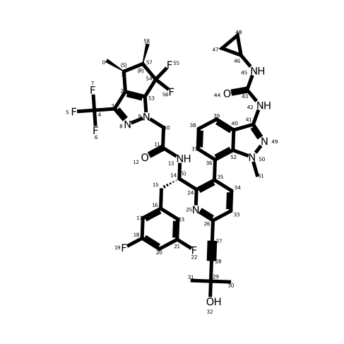 C[C@@H]1c2c(C(F)(F)F)nn(CC(=O)N[C@@H](Cc3cc(F)cc(F)c3)c3nc(C#CC(C)(C)O)ccc3-c3cccc4c(NC(=O)NC5CC5)nn(C)c34)c2C(F)(F)[C@@H]1C